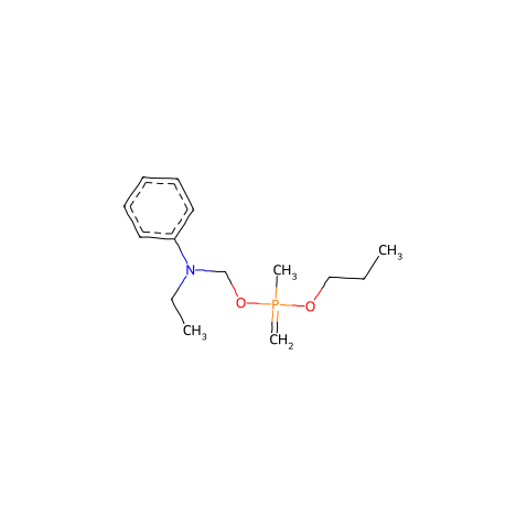 C=P(C)(OCCC)OCN(CC)c1ccccc1